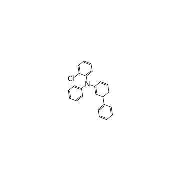 Clc1ccccc1N(C1=CC(c2ccccc2)CC=C1)c1ccccc1